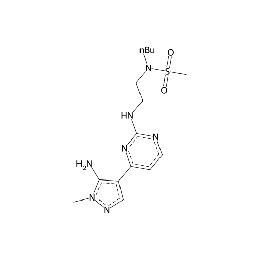 CCCCN(CCNc1nccc(-c2cnn(C)c2N)n1)S(C)(=O)=O